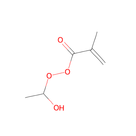 C=C(C)C(=O)OOC(C)O